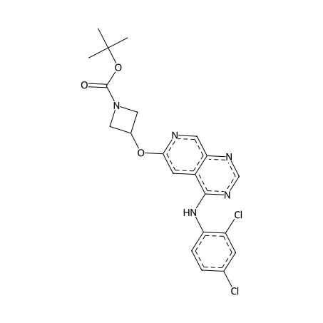 CC(C)(C)OC(=O)N1CC(Oc2cc3c(Nc4ccc(Cl)cc4Cl)ncnc3cn2)C1